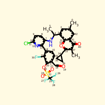 Cc1cc(C(C)Nc2ccc(Cl)nc2-c2ccc(C=O)c(OS(=O)(=O)C(F)(F)F)c2F)c2oc(C3CC3)c(C)c(=O)c2c1